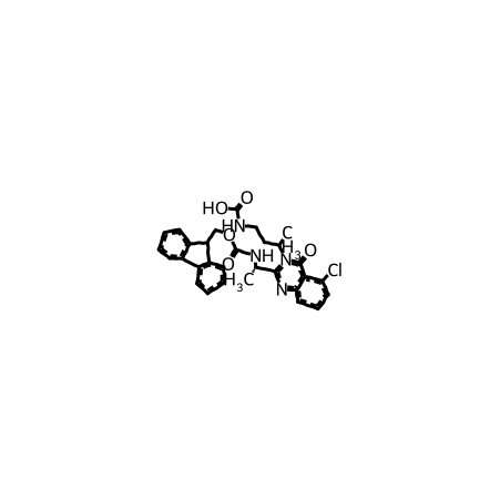 CC(CCNC(=O)O)n1c([C@H](C)NC(=O)OCC2c3ccccc3-c3ccccc32)nc2cccc(Cl)c2c1=O